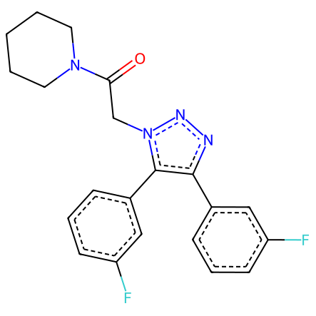 O=C(Cn1nnc(-c2cccc(F)c2)c1-c1cccc(F)c1)N1CCCCC1